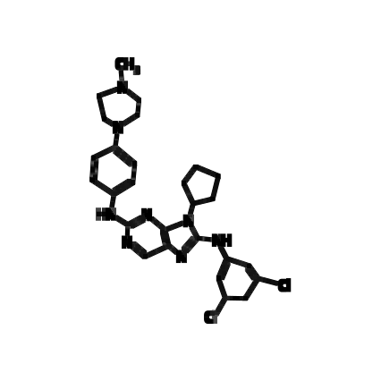 CN1CCN(c2ccc(Nc3ncc4nc(NC5=CC(Cl)CC(Cl)=C5)n(C5CCCC5)c4n3)cc2)CC1